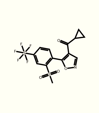 CS(=O)(=O)c1cc(S(F)(F)(F)(F)F)ccc1-c1oncc1C(=O)C1CC1